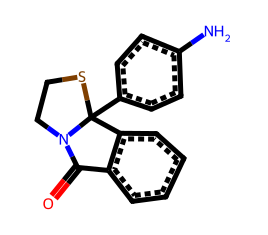 Nc1ccc(C23SCCN2C(=O)c2ccccc23)cc1